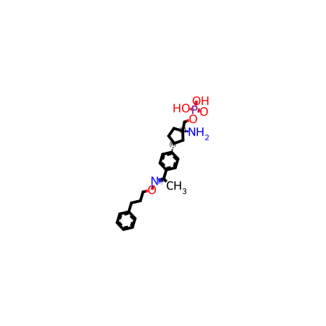 C/C(=N\OCCCc1ccccc1)c1ccc([C@@H]2CC[C@](N)(COP(=O)(O)O)C2)cc1